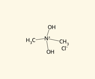 C[N+](C)(O)O.[Cl-]